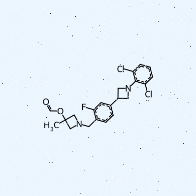 CC1(OC=O)CN(Cc2ccc(C3CN(c4c(Cl)cccc4Cl)C3)cc2F)C1